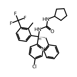 Cc1c(C(F)(F)F)cccc1[C@@](Cc1ccccc1)(NC(=O)NC1CCCC1)c1ccc(Cl)cn1